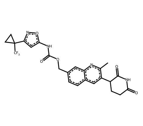 Cc1nc2cc(COC(=O)Nc3cc(C4(C(F)(F)F)CC4)no3)ccc2cc1C1CCC(=O)NC1=O